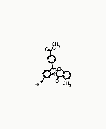 C#Cc1ccc2c(-c3ccc(C(=O)OC)cc3)nn(C(=O)c3c(C)cccc3Cl)c2c1